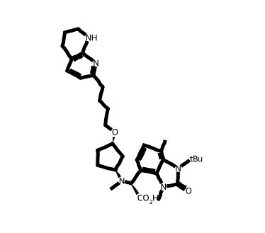 Cc1ccc([C@@H](C(=O)O)N(C)[C@H]2CC[C@H](OCCCCc3ccc4c(n3)NCCC4)C2)c2c1n(C(C)(C)C)c(=O)n2C